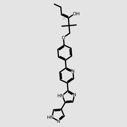 CC/C=C(\O)C(C)(C)COc1ccc(-c2ccc(-c3ncc(-c4cn[nH]c4)[nH]3)cn2)cc1